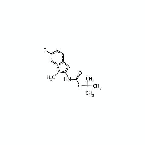 Cc1c(NC(=O)OC(C)(C)C)nc2ccc(F)cn12